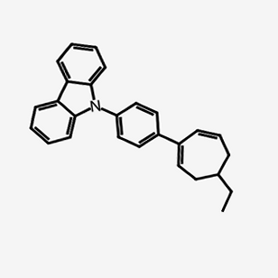 CCC1CC=CC(c2ccc(-n3c4ccccc4c4ccccc43)cc2)=CC1